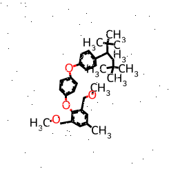 COCc1cc(C)cc(COC)c1Oc1ccc(Oc2ccc(C(CC(C)(C)C)C(C)(C)C)cc2)cc1